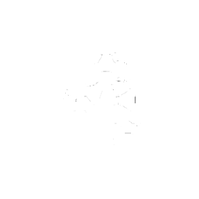 Cc1cnc(-c2ccc3nc(-c4cccnc4N)n(-c4ccc5c(c4)CC[C@@H]5N)c3n2)s1